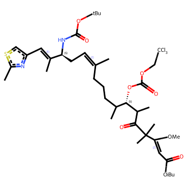 CO/C(=C\C(=O)OCC(C)C)C(C)(C)C(=O)C(C)[C@@H](OC(=O)OCC(Cl)(Cl)Cl)C(C)CCC/C(C)=C\C[C@H](NC(=O)OC(C)(C)C)/C(C)=C/c1csc(C)n1